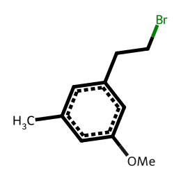 COc1cc(C)cc(CCBr)c1